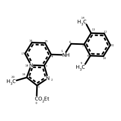 CCOC(=O)c1nc2c(NCc3c(C)cccc3C)cccn2c1C